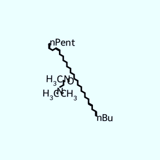 CCCC/C=C/C/C=C/CCCCCCCC(CCCCCCCC/C=C\C/C=C\CCCCC)O/N=C(/C)CCN(C)C